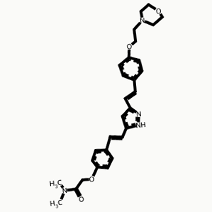 CN(C)C(=O)COc1ccc(C=Cc2cc(/C=C/c3ccc(OCCN4CCOCC4)cc3)n[nH]2)cc1